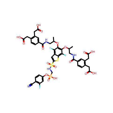 CC(CNC(=O)c1ccc(CC(=O)O)c(CC(=O)O)c1)Oc1c(OC(C)CNC(=O)c2ccc(CC(=O)O)c(CC(=O)O)c2)c(F)c2sc(S(=O)(=O)NCP(=O)(O)Oc3ccc(C#N)c(F)c3)cc2c1F